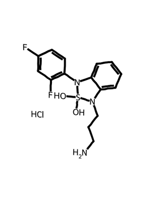 Cl.NCCCN1c2ccccc2N(c2ccc(F)cc2F)S1(O)O